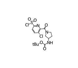 CC(C)(C)OC(=O)NC1CCN(C(=O)c2nc(S(=O)(=O)Cl)ccc2Cl)C1